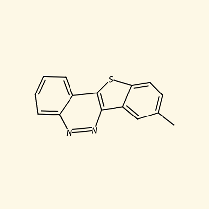 Cc1ccc2sc3c4ccccc4nnc3c2c1